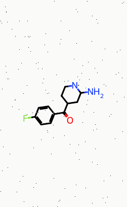 NC1CC(C(=O)c2ccc(F)cc2)CC[N]1